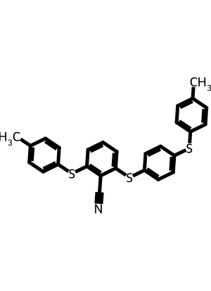 Cc1ccc(Sc2ccc(Sc3cccc(Sc4ccc(C)cc4)c3C#N)cc2)cc1